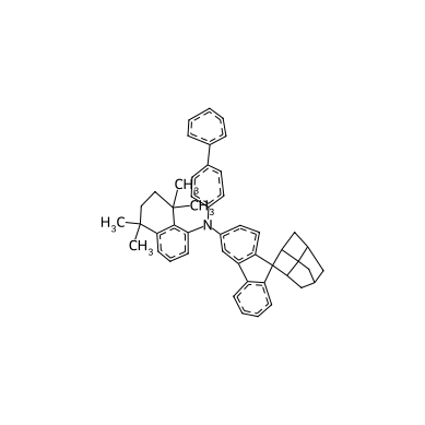 CC1(C)CCC(C)(C)c2c(N(c3ccc(-c4ccccc4)cc3)c3ccc4c(c3)-c3ccccc3C43C4CC5CC6CC3C64C5)cccc21